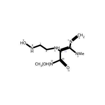 C=N/C(NC)=C(\NCCNO)C(=O)N(C)O